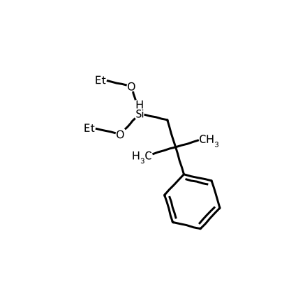 CCO[SiH](CC(C)(C)c1ccccc1)OCC